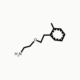 Cc1ccccc1CCOCCN